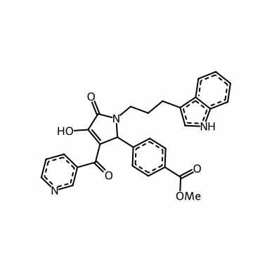 COC(=O)c1ccc(C2C(C(=O)c3cccnc3)=C(O)C(=O)N2CCCc2c[nH]c3ccccc23)cc1